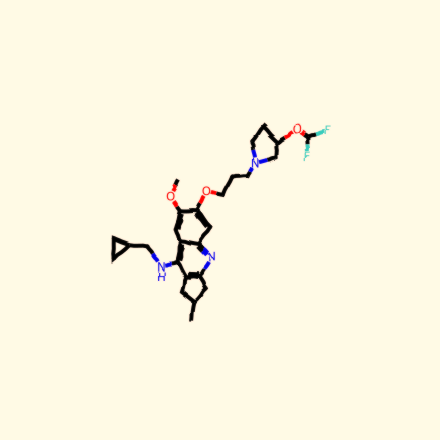 COc1cc2c(NCC3CC3)c3c(nc2cc1OCCCN1CCC(OC(F)F)C1)CC(C)C3